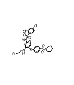 CC(C)CCNc1nc(NS(=O)(=O)c2ccc(Cl)cc2Cl)ncc1Sc1ccc(S(=O)(=O)N2CCCCC2)cc1